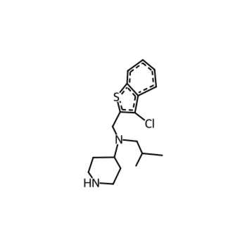 CC(C)CN(Cc1sc2ccccc2c1Cl)C1CCNCC1